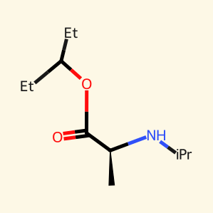 CCC(CC)OC(=O)[C@H](C)NC(C)C